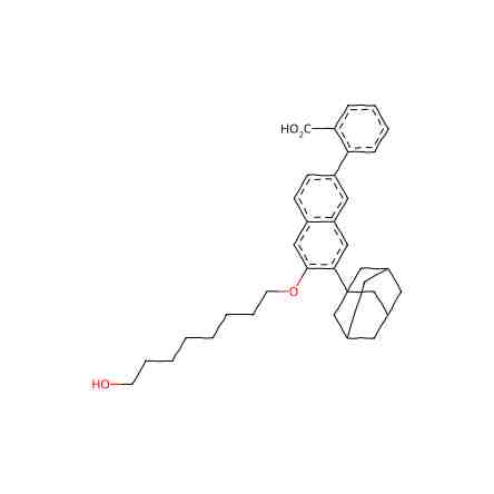 O=C(O)c1ccccc1-c1ccc2cc(OCCCCCCCCO)c(C34CC5CC(CC(C5)C3)C4)cc2c1